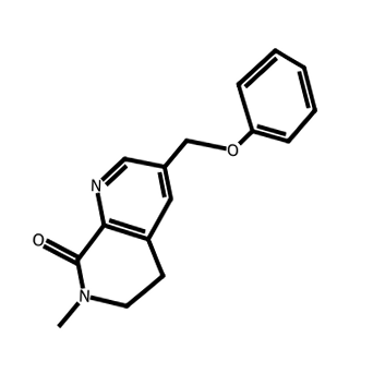 CN1CCc2cc(COc3ccccc3)cnc2C1=O